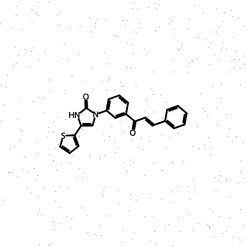 O=C(C=Cc1ccccc1)c1cccc(-n2cc(-c3cccs3)[nH]c2=O)c1